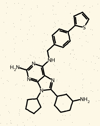 Nc1nc(NCc2ccc(-c3cccs3)cc2)c2nc(C3CCCC(N)C3)n(C3CCCC3)c2n1